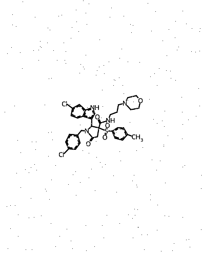 Cc1ccc(S(=O)(=O)C2(C(=O)NCCCN3CCOCC3)CC(=O)N(Cc3ccc(Cl)cc3)C2c2c[nH]c3cc(Cl)ccc23)cc1